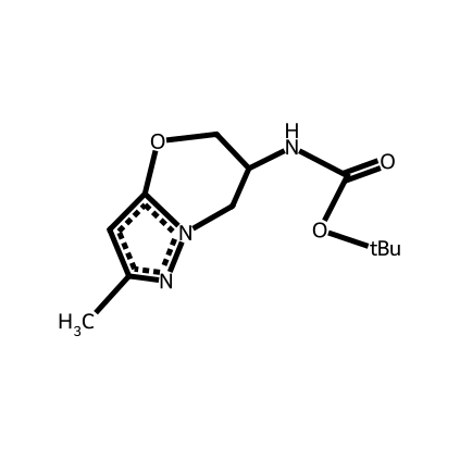 Cc1cc2n(n1)CC(NC(=O)OC(C)(C)C)CO2